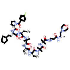 CC(C)C[C@H](NC(=O)[C@H](CCC1CCCCC1)NC(=O)[C@@H]1CCCN1C(=O)c1ccc(F)cc1)C(=O)NC(C)(C)C(=O)N[C@@H](CC(C)C)C(=O)N[C@@H](CC(C)C)C(=O)NC(C)(C)C(=O)NC(C)(C)C(=O)NCCC(=O)N[C@@H](C)CN1CCOCC1